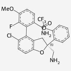 COc1ccc(C(N)=O)c(-c2c(Cl)ccc3c2C[C@@](CN)(c2ccccc2OC(F)(F)F)O3)c1F